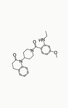 CCNc1cc(OC)ccc1C(=O)N1CCC(N2C(=O)CCc3ccccc32)CC1